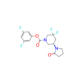 O=C(Oc1cc(F)cc(F)c1)N1C[C@H](N2CCCC2=O)CC(F)(F)C1